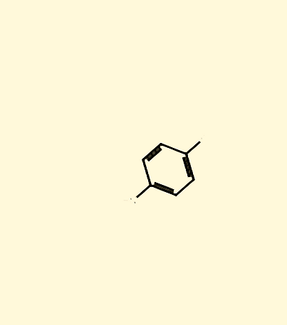 [NH]c1ccc(Cl)cc1